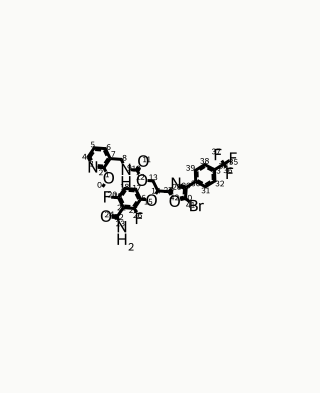 COc1ncccc1CNC(=O)OCC(Oc1ccc(F)c(C(N)=O)c1F)c1nc(-c2ccc(C(F)(F)F)cc2)c(Br)o1